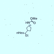 CCCCCCC(CC)C1CC[C@@H](NC(=O)OC)C1